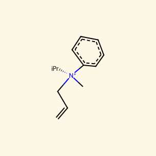 C=CC[N@+](C)(c1ccccc1)C(C)C